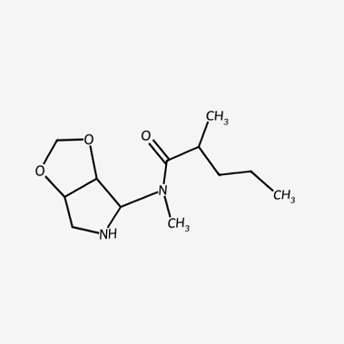 CCCC(C)C(=O)N(C)C1NCC2OCOC21